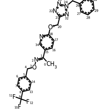 C/C(=N\OCc1ccc(C(F)(F)F)cc1)c1ccc(OCc2nnn(Cc3ccccc3)n2)nc1